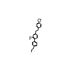 CCCc1ccc(-c2ccc(CCc3ccc(OC)cc3)cc2F)cc1